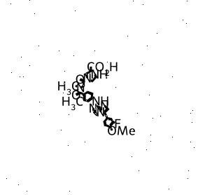 COc1ccc(-c2cnc3c(Nc4ccc(C(=O)N(C)CC(=O)N5CCNC(C(=O)O)C5)c(C)c4)nccn23)cc1F